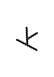 CCCCCCCCCCN(CC=CCN(CCCCCCCCCC)CCCCCCCCCC)CCCCCCCCCC